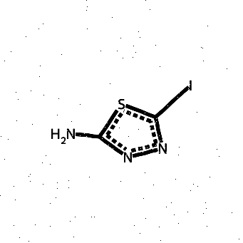 Nc1nnc(I)s1